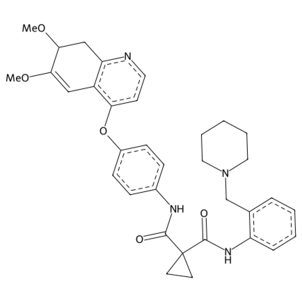 COC1=Cc2c(Oc3ccc(NC(=O)C4(C(=O)Nc5ccccc5CN5CCCCC5)CC4)cc3)ccnc2CC1OC